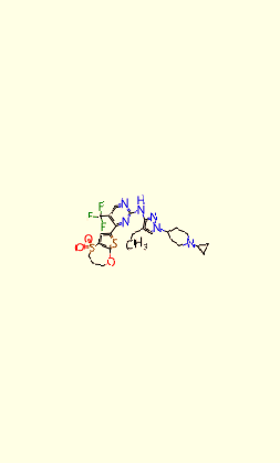 CCc1cn(C2CCN(C3CC3)CC2)nc1Nc1ncc(C(F)(F)F)c(-c2cc3c(s2)OCCCS3(=O)=O)n1